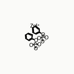 O=P([O-])([O-])Oc1ccccc1.O=P([O-])([O-])Oc1ccccc1.[Zr+4]